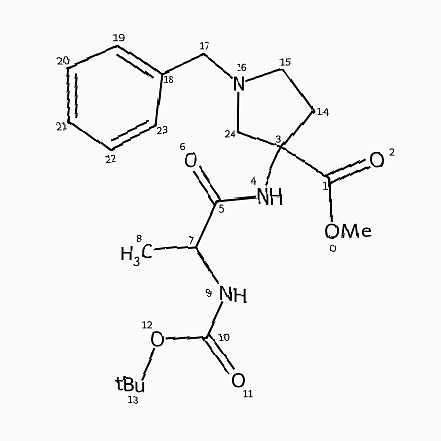 COC(=O)C1(NC(=O)C(C)NC(=O)OC(C)(C)C)CCN(Cc2ccccc2)C1